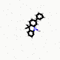 CC1(C)c2ccccc2N(I)c2cc(-c3ccccc3)ccc21